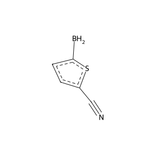 Bc1ccc(C#N)s1